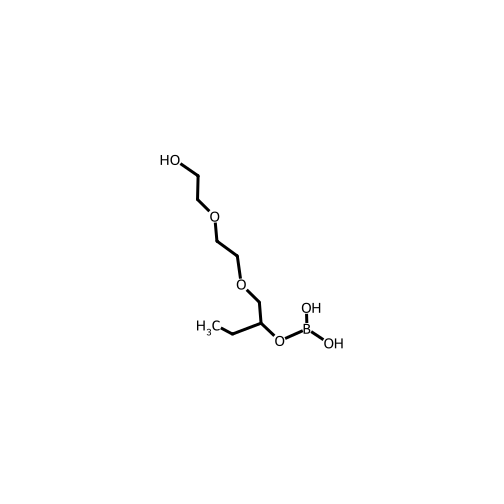 CCC(COCCOCCO)OB(O)O